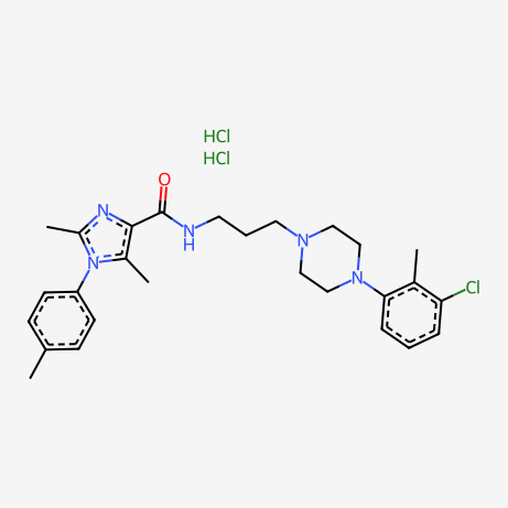 Cc1ccc(-n2c(C)nc(C(=O)NCCCN3CCN(c4cccc(Cl)c4C)CC3)c2C)cc1.Cl.Cl